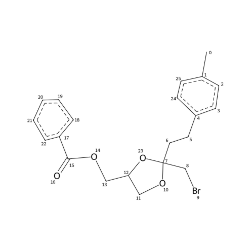 Cc1ccc(CCC2(CBr)OCC(COC(=O)c3ccccc3)O2)cc1